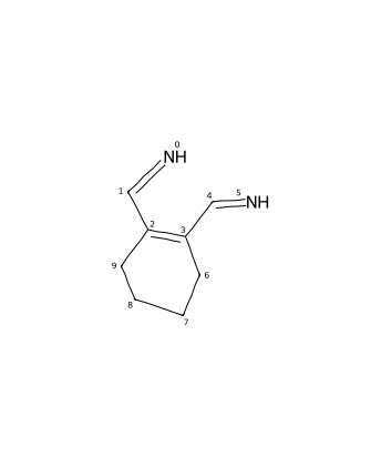 N=CC1=C(C=N)CCCC1